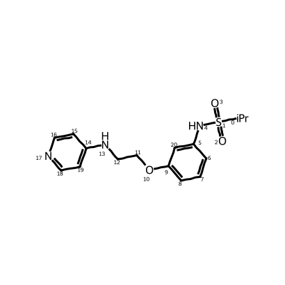 CC(C)S(=O)(=O)Nc1cccc(OCCNc2ccncc2)c1